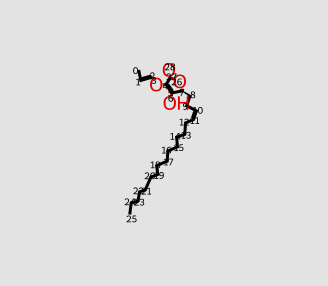 C/C=C/OC1=C(O)[C@H](CC/C=C\CCCCCCCCCCCCCC)OC1=O